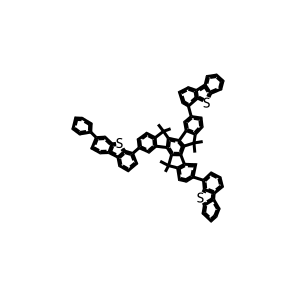 CC1(C)c2ccc(-c3cccc4c3sc3ccccc34)cc2-c2c1c1c(c3c2C(C)(C)c2ccc(-c4cccc5c4sc4cc(-c6ccccc6)ccc45)cc2-3)C(C)(C)c2ccc(-c3cccc4c3sc3ccccc34)cc2-1